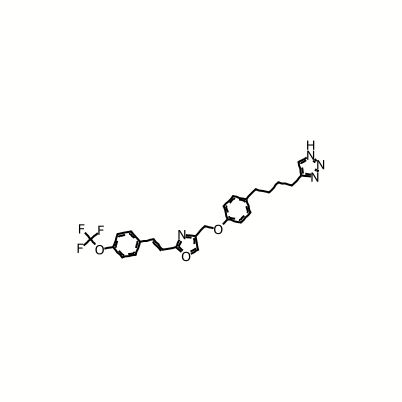 FC(F)(F)Oc1ccc(C=Cc2nc(COc3ccc(CCCCc4c[nH]nn4)cc3)co2)cc1